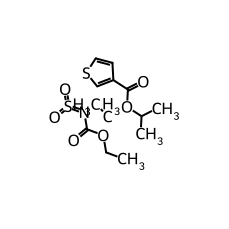 CC.CC(C)OC(=O)c1ccsc1.CCOC(=O)N=S(=O)=O